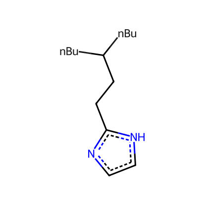 CCCCC(CCCC)CCc1ncc[nH]1